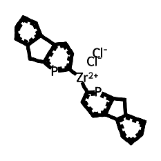 [Cl-].[Cl-].c1ccc2c(c1)Cc1p[c]([Zr+2][c]3ccc4c(p3)Cc3ccccc3-4)ccc1-2